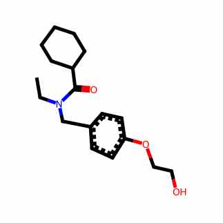 CCN(Cc1ccc(OCCO)cc1)C(=O)C1CCCCC1